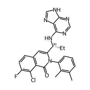 CC[C@@H](Nc1ncnc2[nH]cnc12)c1cc2ccc(F)c(Cl)c2c(=O)n1-c1cccc(C)c1C